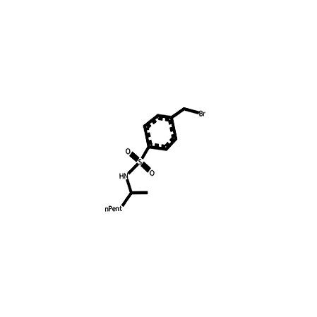 CCCCCC(C)NS(=O)(=O)c1ccc(CBr)cc1